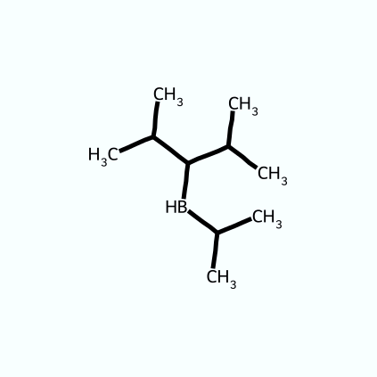 CC(C)BC(C(C)C)C(C)C